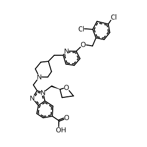 O=C(O)c1ccc2nc(CN3CCC(Cc4cccc(OCc5ccc(Cl)cc5Cl)n4)CC3)n(C[C@@H]3CCO3)c2c1